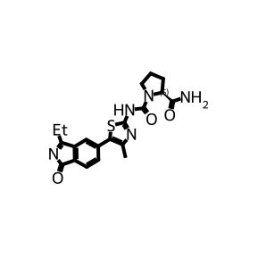 CCC1=NC(=O)c2ccc(-c3sc(NC(=O)N4CCC[C@H]4C(N)=O)nc3C)cc21